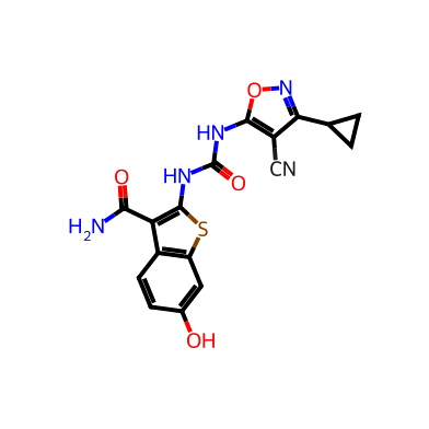 N#Cc1c(C2CC2)noc1NC(=O)Nc1sc2cc(O)ccc2c1C(N)=O